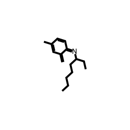 C=C1C=C(C)C=C/C1=N/C(CC)CCCCC